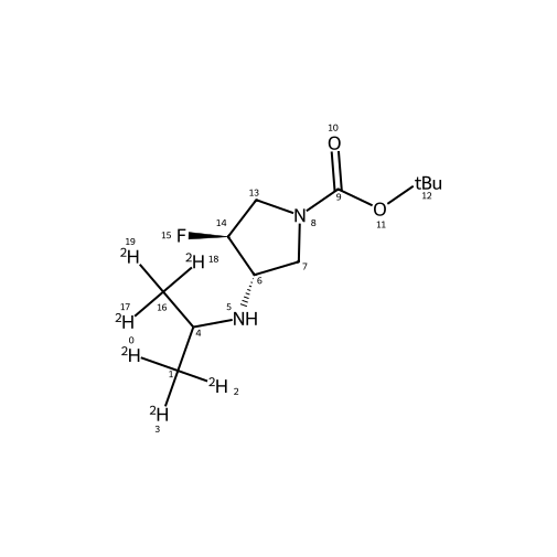 [2H]C([2H])([2H])C(N[C@H]1CN(C(=O)OC(C)(C)C)C[C@@H]1F)C([2H])([2H])[2H]